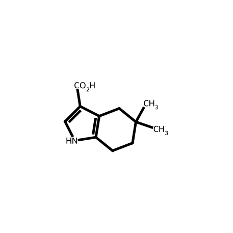 CC1(C)CCc2[nH]cc(C(=O)O)c2C1